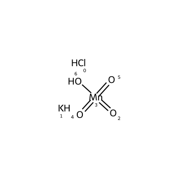 Cl.[KH].[O]=[Mn](=[O])(=[O])[OH]